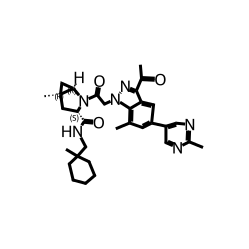 CC(=O)c1nn(CC(=O)N2[C@H](C(=O)NCC3(C)CCCCC3)C[C@@]3(C)C[C@@H]23)c2c(C)cc(-c3cnc(C)nc3)cc12